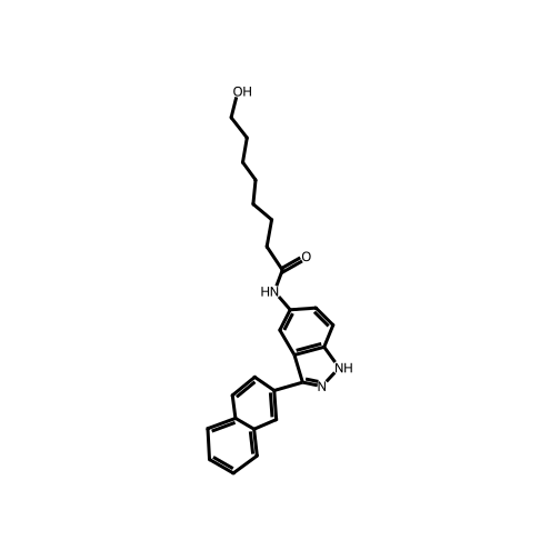 O=C(CCCCCCCO)Nc1ccc2[nH]nc(-c3ccc4ccccc4c3)c2c1